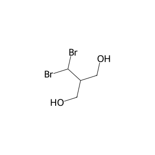 OCC(CO)C(Br)Br